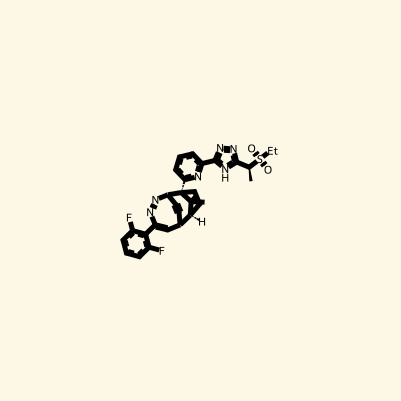 CCS(=O)(=O)[C@@H](C)c1nnc(-c2cccc([C@@]34CC[C@@H](C5C#CC3/N=N\C(c3c(F)cccc3F)=C/5)C4(C)C)n2)[nH]1